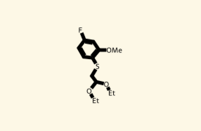 CCOC(CSc1ccc(F)cc1OC)OCC